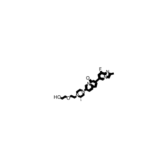 Cc1cn2cc(C3=C\C(=O)N4C=C(N5CCN(CCOCCO)[C@@H](C)C5)C=C\C4=C/C=C/3)cc(F)c2n1